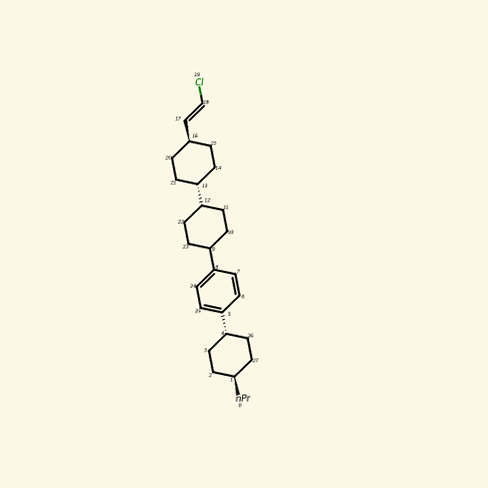 CCC[C@H]1CC[C@H](c2ccc(C3CCC([C@H]4CC[C@H](/C=C/Cl)CC4)CC3)cc2)CC1